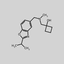 CC(C)c1nc2cc(CN(C)CC3(O)CCC3)ccc2o1